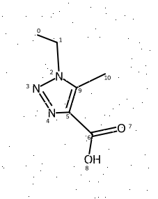 CCn1nnc(C(=O)O)c1C